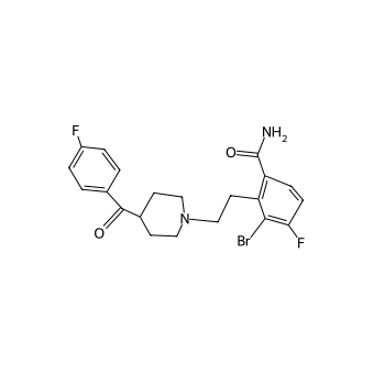 NC(=O)c1ccc(F)c(Br)c1CCN1CCC(C(=O)c2ccc(F)cc2)CC1